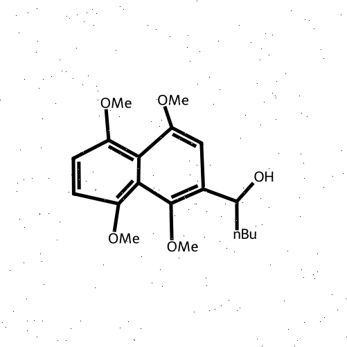 CCCCC(O)c1cc(OC)c2c(OC)ccc(OC)c2c1OC